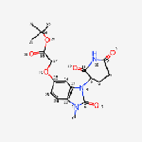 Cn1c(=O)n(C2CCC(=O)NC2=O)c2cc(OCC(=O)OC(C)(C)C)ccc21